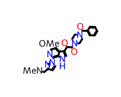 CNCc1ccn(-c2ncc(OC)c3c(C(=O)C(=O)N4CCN(C(=O)c5ccccc5)CC4)c[nH]c23)n1